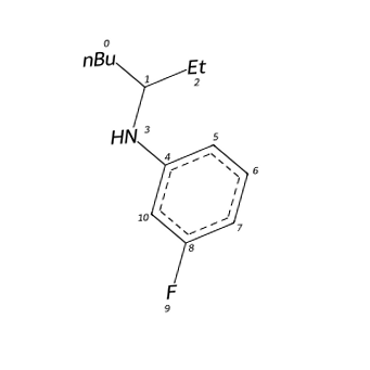 CCCCC(CC)Nc1cccc(F)c1